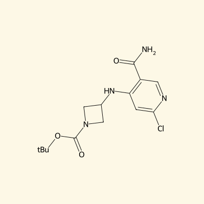 CC(C)(C)OC(=O)N1CC(Nc2cc(Cl)ncc2C(N)=O)C1